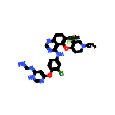 COc1ccc2ncnc(Nc3ccc(Oc4c/c(=N/C=N)[nH]cn4)c(Cl)c3)c2c1O[C@@H]1CCN(C)CC1(F)F